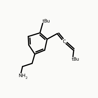 CC(C)(C)C=C=Cc1cc(CCN)ccc1C(C)(C)C